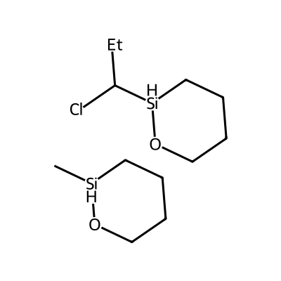 CCC(Cl)[SiH]1CCCCO1.C[SiH]1CCCCO1